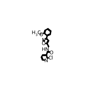 COc1ccccc1-c1cc(CNC(=O)c2cccnc2Cl)on1